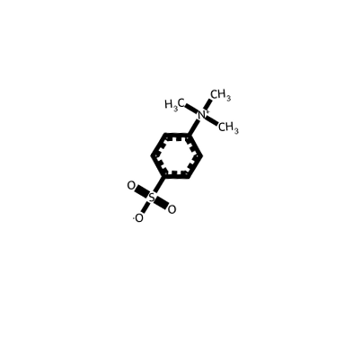 C[N+](C)(C)c1ccc(S([O])(=O)=O)cc1